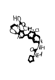 Cc1c(-c2cc3cc(NC(=O)NC4CCCC4)ncc3c(Cl)c2F)cnc2c1N(C(=O)O)CCO2